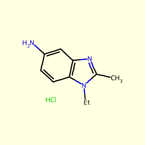 CCn1c(C)nc2cc(N)ccc21.Cl